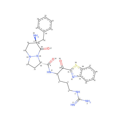 N=C(N)NCCCC(NC(=O)[C@@H]1CCN2CC[C@](N)(Cc3ccccc3)C(=O)N12)C(=O)c1nc2ccccc2s1